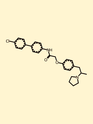 CC(Cc1ccc(OCC(=O)Nc2ccc(-c3ccc(Cl)cc3)cc2)cc1)N1CCCC1